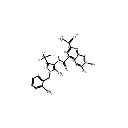 Cc1ccccc1Cn1nc(C(F)(F)F)c(NC(=O)c2cc(C(N)=O)nc3cc(F)c(Cl)cc23)c1C